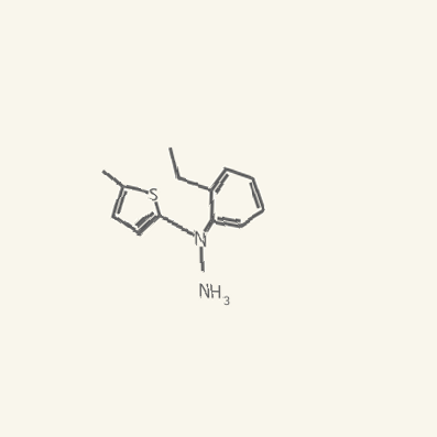 CCc1ccccc1N(C)c1ccc(C)s1.N